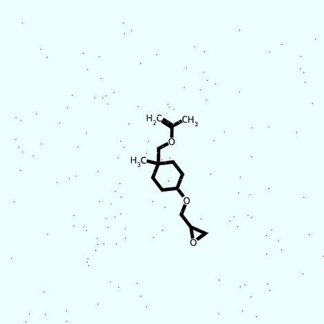 C=C(C)OCC1(C)CCC(OCC2CO2)CC1